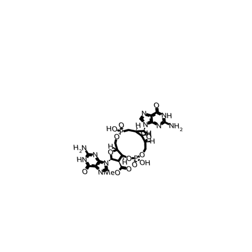 COC(=O)[C@@H]1[C@@H]2OP(=O)(O)OC[C@H]3O[C@@H](n4cnc5c(=O)[nH]c(N)nc54)[C@H](CP(=O)(O)OC[C@H]2O[C@H]1n1cnc2c(=O)[nH]c(N)nc21)[C@@H]3O